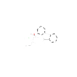 CC1c2ccccc2-c2ccc[c]([Zr]([CH3])(=[O])([SiH3])([Cl])([Cl])[Si](C)(C)CCO)c21